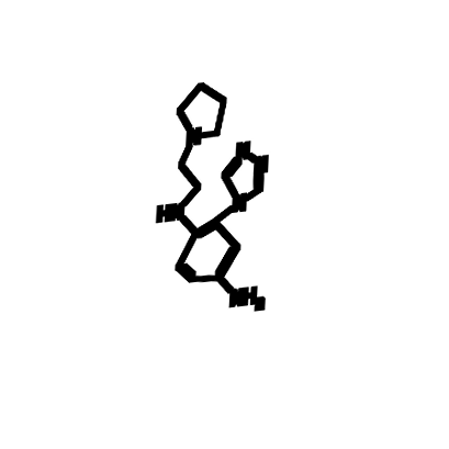 Nc1ccc(NCCN2CCCC2)c(-n2cnnc2)c1